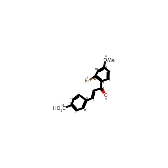 COc1ccc(C(=O)C=Cc2ccc(C(=O)O)cc2)c(Br)c1